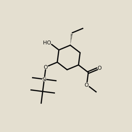 CC[C@@H]1CC(C(=O)OC)CC(O[Si](C)(C)C(C)(C)C)C1O